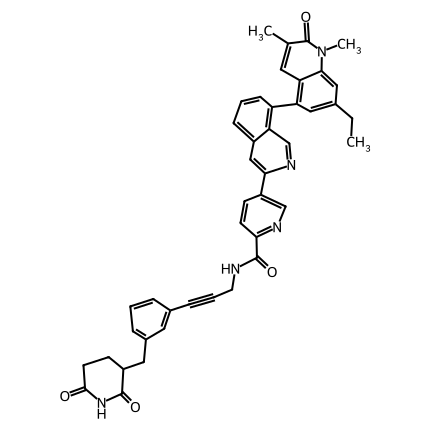 CCc1cc(-c2cccc3cc(-c4ccc(C(=O)NCC#Cc5cccc(CC6CCC(=O)NC6=O)c5)nc4)ncc23)c2cc(C)c(=O)n(C)c2c1